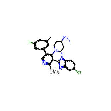 COc1ncc(-c2cc(C)cc(F)c2)c(N2CCC(N)CC2)c1-c1nc2cc(Cl)ccc2[nH]1